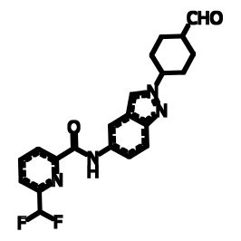 O=CC1CCC(n2cc3cc(NC(=O)c4cccc(C(F)F)n4)ccc3n2)CC1